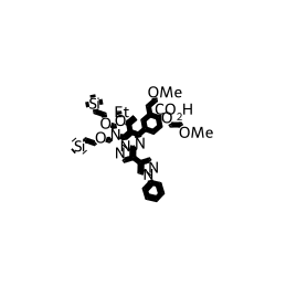 C=C(OCC)c1c(C2CCC(OCCOC)(C(=O)O)C(CCOC)C2)nc2c(-c3cnn(-c4ccccc4)c3)cnn2c1N(COCC[Si](C)(C)C)COCC[Si](C)(C)C